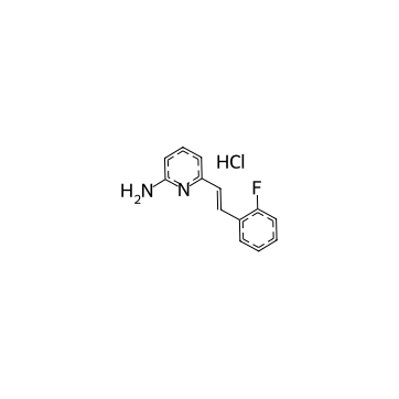 Cl.Nc1cccc(/C=C/c2ccccc2F)n1